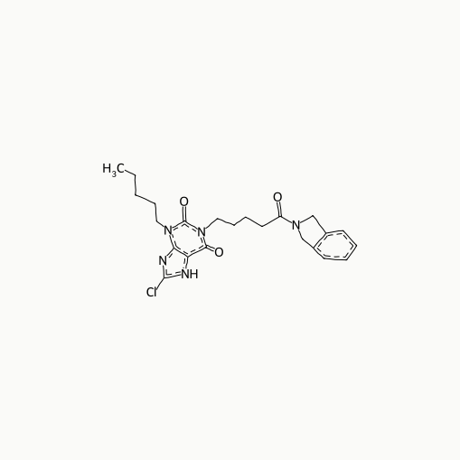 CCCCCn1c(=O)n(CCCCC(=O)N2Cc3ccccc3C2)c(=O)c2[nH]c(Cl)nc21